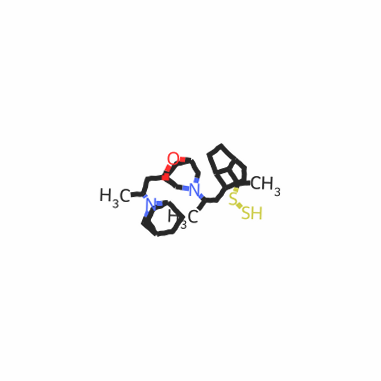 CC(SS)C1C2CCC(CC(C)N3CC4CCC3C(CC(C)N3CC5CCC3CC5)O4)C1CC2